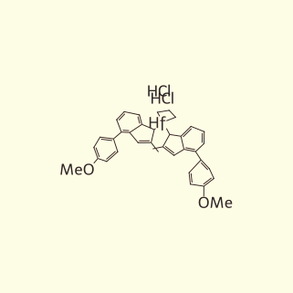 COc1ccc(-c2cccc3c2C=C(C)[CH]3[Hf]2([CH]3C(C)=Cc4c(-c5ccc(OC)cc5)cccc43)[CH2]C[CH2]2)cc1.Cl.Cl